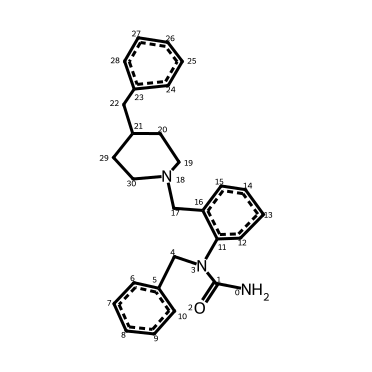 NC(=O)N(Cc1ccccc1)c1ccccc1CN1CCC(Cc2ccccc2)CC1